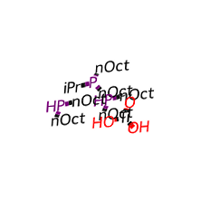 CCCCCCCCP(CCCCCCCC)C(C)C.CCCCCCCCPCCCCCCCC.CCCCCCCCPCCCCCCCC.[O]=[Ti]([OH])[OH]